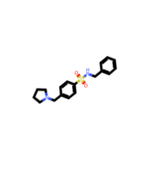 O=S(=O)(NCc1ccccc1)c1ccc(CN2CCCC2)cc1